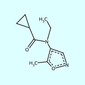 CCN(C(=O)C1CC1)c1cnoc1C